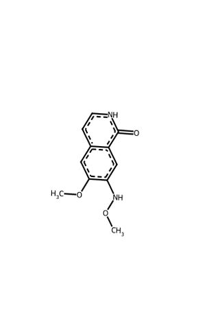 CONc1cc2c(=O)[nH]ccc2cc1OC